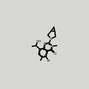 Cc1cc(C(C)O)c2nc(N3CC4CC4C3)n(C)c(=O)c2c1Br